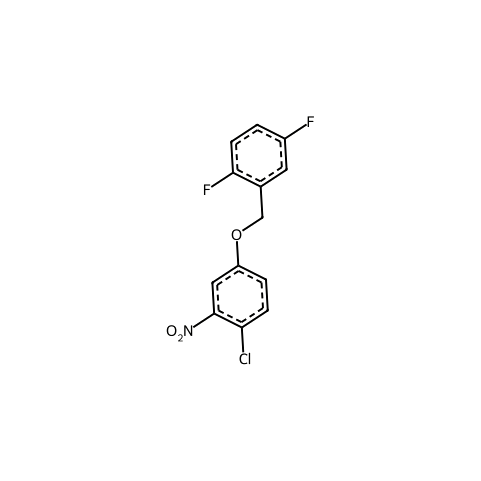 O=[N+]([O-])c1cc(OCc2cc(F)ccc2F)ccc1Cl